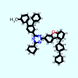 Cc1cccc(-c2ccc(-c3nc(-c4ccccc4)nc(-c4ccc5c(c4)oc4cccc(-c6ccc(-c7ccccc7)cc6)c45)n3)cc2-c2ccccc2)c1